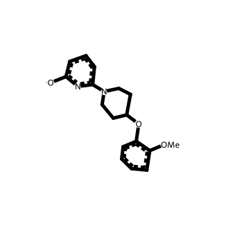 COc1ccccc1OC1CCN(c2cccc([O])n2)CC1